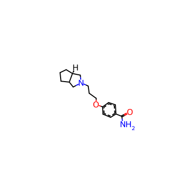 NC(=O)c1ccc(OCCCN2CC3CCC[C@@H]3C2)cc1